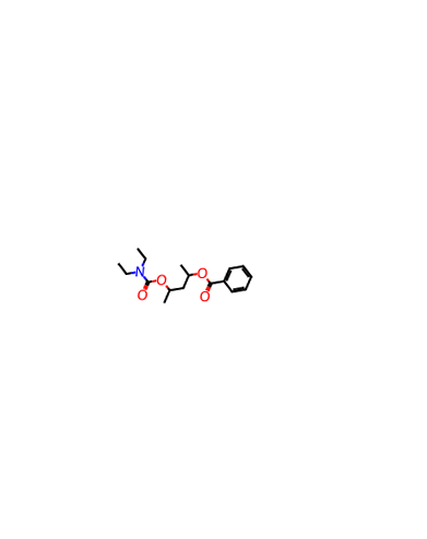 CCN(CC)C(=O)OC(C)CC(C)OC(=O)c1ccccc1